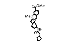 COC(=O)c1ccc(Cn2ccc3ccc(NC(=O)CC4CCCC4)cc32)c(OC)c1